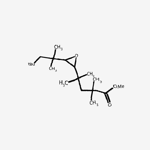 COC(=O)C(C)(C)CC(C)(C)C1OC1C(C)(C)CC(C)(C)C